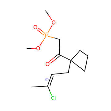 COP(=O)(CC(=O)C1(C/C=C(/C)Cl)CCC1)OC